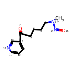 CN(CCCCC(=O)c1cccnc1)N=O